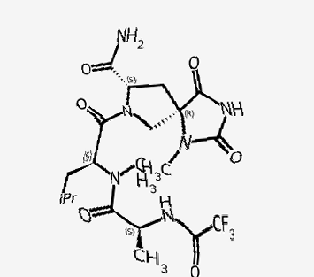 CC(C)C[C@@H](C(=O)N1C[C@]2(C[C@H]1C(N)=O)C(=O)NC(=O)N2C)N(C)C(=O)[C@H](C)NC(=O)C(F)(F)F